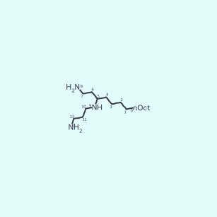 CCCCCCCCCCCCC(CCN)NCCCN